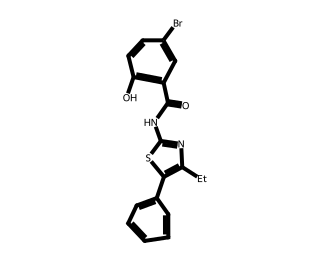 CCc1nc(NC(=O)c2cc(Br)ccc2O)sc1-c1ccccc1